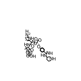 CC1(C)C(NC(=O)/C(=N\O[C@@H](COc2ccc(C(=N)N[C@@H]3CCCNC3)cc2)C(=O)O)c2csc(N)n2)C(=O)N1OS(=O)(=O)O